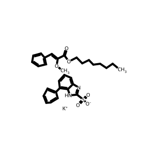 CCCCCCCCOC(=O)C(=Cc1ccccc1)OC.O=S(=O)([O-])c1nc2cccc(-c3ccccc3)c2[nH]1.[K+]